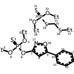 CCOP(=S)(OCC)Oc1cc(-c2ccccc2)on1.CCOP(=S)(OCC)SCSCC